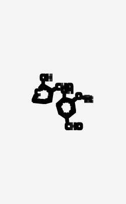 CCOc1cc(C=O)ccc1O.O=Cc1ccccc1O